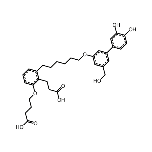 O=C(O)CCCOc1cccc(CCCCCCOc2cc(CO)cc(-c3ccc(O)c(O)c3)c2)c1CCC(=O)O